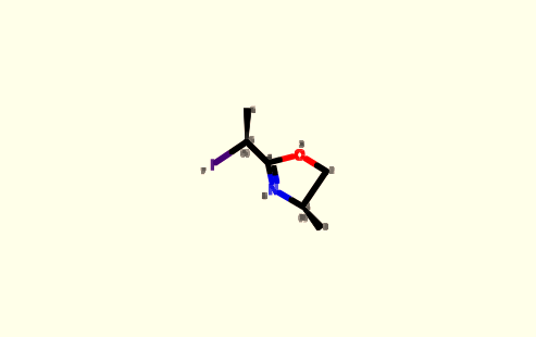 C[C@@H]1COC([C@H](C)I)=N1